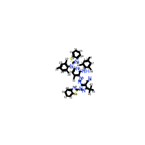 Cc1cc(C)c(Nc2nc(N(c3nc4ccccc4s3)c3c(C)cc(C)cc3C)cc(C)c2N=Nc2c(C#N)c(C(C)(C)C)nn2-c2nc3ccccc3s2)c(C)c1